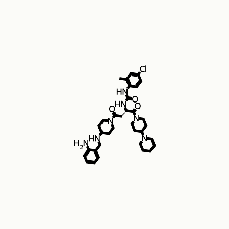 Cc1cc(Cl)ccc1NC(=O)N[C@@H](CC(=O)N1CCC(NCc2ccccc2N)CC1)C(=O)N1CCC(N2CCCCC2)CC1